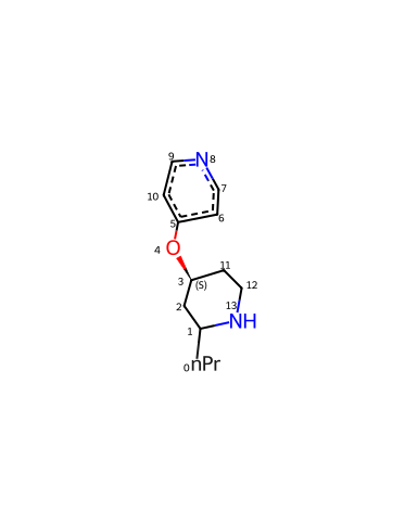 CCCC1C[C@@H](Oc2ccncc2)CCN1